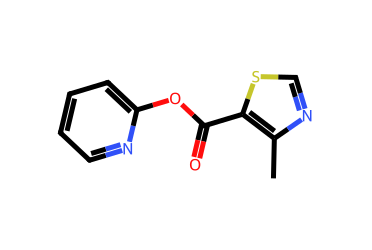 Cc1ncsc1C(=O)Oc1ccccn1